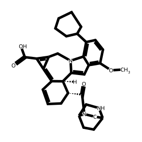 COc1ccc(C2CCCCC2)c2c1cc1n2CC2=C(C(=O)O)C2=C2C=CC[C@@H](C(=O)N3CC4CCC3CN4)[C@@H]21